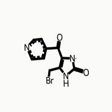 O=C1[N]C(C(=O)c2ccncc2)=C(CBr)N1